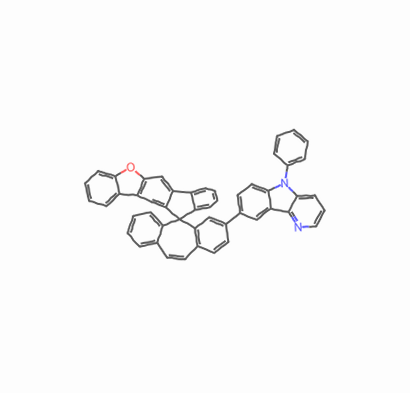 C1=Cc2ccc(-c3ccc4c(c3)c3ncccc3n4-c3ccccc3)cc2C2(c3ccccc31)c1ccccc1-c1cc3oc4ccccc4c3cc12